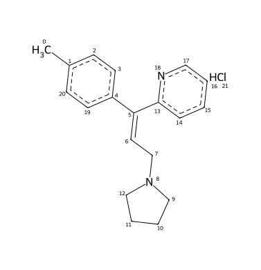 Cc1ccc(C(=CCN2CCCC2)c2ccccn2)cc1.Cl